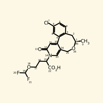 C[C@@H]1Cc2ccc(Cl)cc2-c2cc(=O)n(C(CCOC(F)F)C(=O)O)cc2CO1